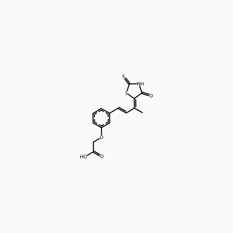 CC(C=Cc1cccc(OCC(=O)O)c1)=C1SC(=S)NC1=O